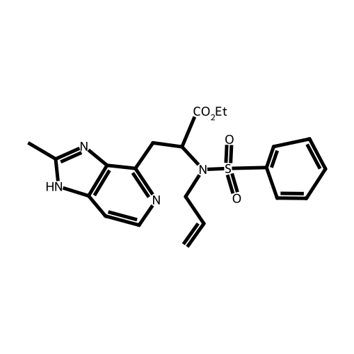 C=CCN(C(Cc1nccc2[nH]c(C)nc12)C(=O)OCC)S(=O)(=O)c1ccccc1